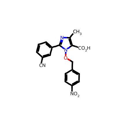 Cc1nc(-c2cccc(C#N)c2)n(OCc2ccc([N+](=O)[O-])cc2)c1C(=O)O